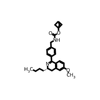 CCCC[C@H]1Cc2cc(OC)ccc2C(c2ccc(CNC(=O)OC34CC(C3)C4)cc2)=N1